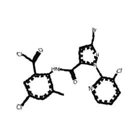 Cc1cc(Cl)cc(C(=O)Cl)c1NC(=O)c1cc(Br)nn1-c1ncccc1Cl